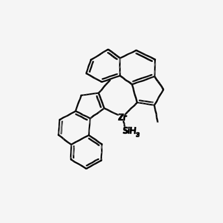 CC1=[C]([Zr]([SiH3])[C]2=C(C)Cc3ccc4ccccc4c32)c2c(ccc3ccccc23)C1